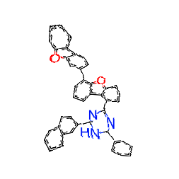 c1ccc(C2N=C(c3cccc4oc5c(-c6ccc7c(c6)oc6ccccc67)cccc5c34)N=C(c3ccc4ccccc4c3)N2)cc1